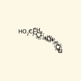 C/C(=C\c1ccc(CCN2CCN(C/C=C/c3ccc(Cl)cc3)CC2)cc1)C(=O)O